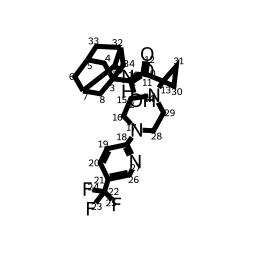 O=C(O)C12CC3CC(C1)C(NC(=O)C1(N4CCN(c5ccc(C(F)(F)F)cn5)CC4)CC1)C(C3)C2